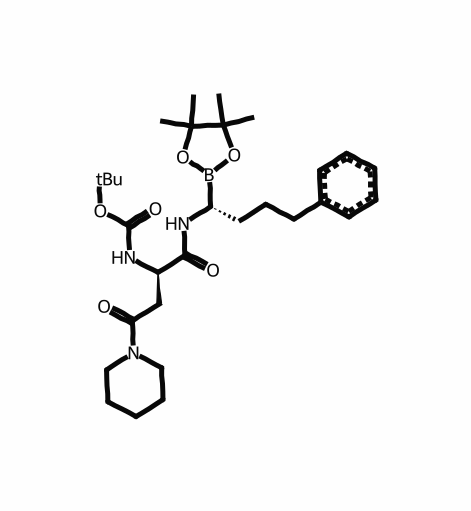 CC(C)(C)OC(=O)N[C@H](CC(=O)N1CCCCC1)C(=O)N[C@@H](CCCc1ccccc1)B1OC(C)(C)C(C)(C)O1